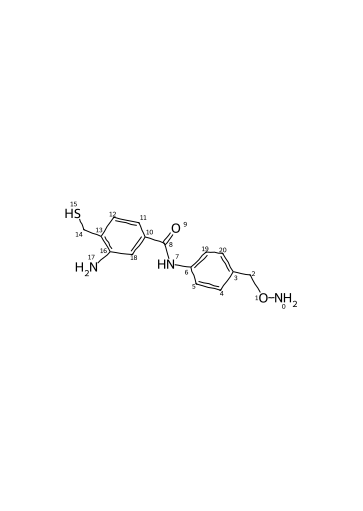 NOCc1ccc(NC(=O)c2ccc(CS)c(N)c2)cc1